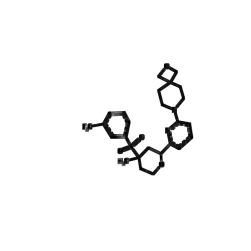 CC1(S(=O)(=O)c2cccc(C(F)(F)F)c2)CCOC(c2cccc(N3CCC4(CC3)COC4)n2)C1